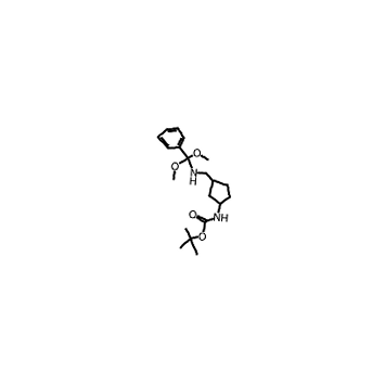 COC(NCC1CCC(NC(=O)OC(C)(C)C)C1)(OC)c1ccccc1